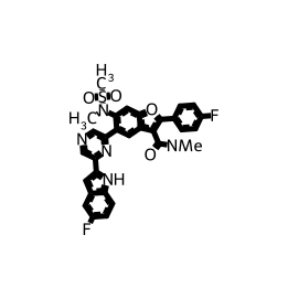 CNC(=O)c1c(-c2ccc(F)cc2)oc2cc(N(C)S(C)(=O)=O)c(-c3cncc(-c4cc5cc(F)ccc5[nH]4)n3)cc12